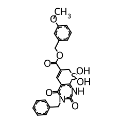 COc1cccc(COC(=O)C2=Cc3c([nH]c(=O)n(Cc4ccccc4)c3=O)S(O)(O)C2)c1